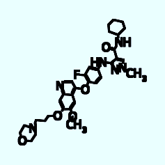 COc1cc2c(Oc3ccc(Nc4nn(C)cc4C(=O)NC4CCCCC4)cc3F)ccnc2cc1OCCCN1CCOCC1